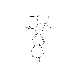 C[C@H]1CCCC(C)(C)[C@@H]1[C@H](O)c1ccc2c(c1)CCNC2